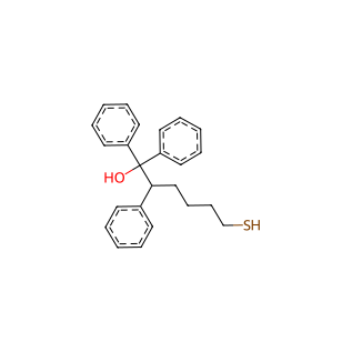 OC(c1ccccc1)(c1ccccc1)C(CCCCS)c1ccccc1